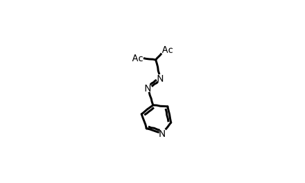 CC(=O)C(N=Nc1ccncc1)C(C)=O